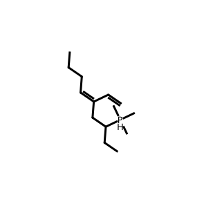 C=C/C(=C\CCC)CC(CC)[PH](C)(C)C